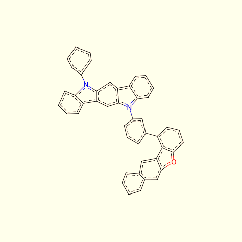 c1ccc(-n2c3ccccc3c3cc4c(cc32)c2ccccc2n4-c2cccc(-c3cccc4oc5cc6ccccc6cc5c34)c2)cc1